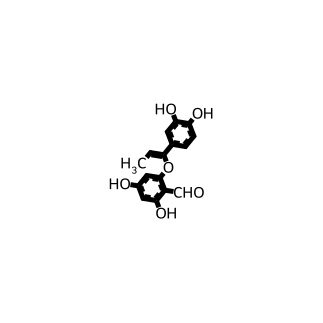 C/C=C(\Oc1cc(O)cc(O)c1C=O)c1ccc(O)c(O)c1